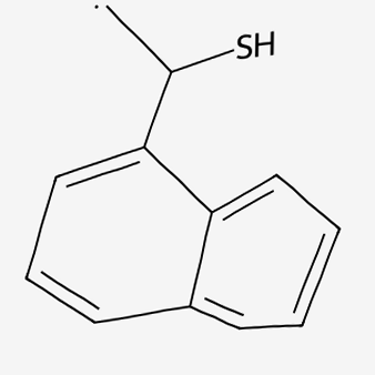 [CH2]C(S)c1cccc2ccccc12